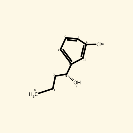 CCC[C@@H](O)c1cccc(Cl)c1